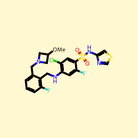 COC1CN(Cc2cccc(F)c2CNc2cc(F)c(S(=O)(=O)Nc3cscn3)cc2Cl)C1